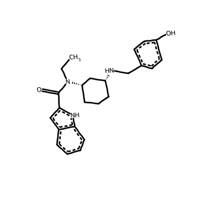 CCN(C(=O)c1cc2ccccc2[nH]1)[C@H]1CCC[C@@H](NCc2ccc(O)cc2)C1